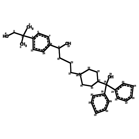 CC(C)(CO)c1ccc(C(O)CCCN2CCC(C(O)(c3ccccc3)c3ccccc3)CC2)cc1